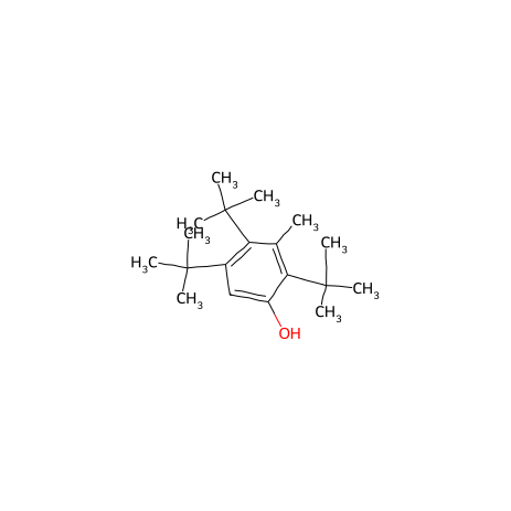 Cc1c(C(C)(C)C)c(O)cc(C(C)(C)C)c1C(C)(C)C